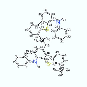 CCc1ccccc1N(C)c1ccc(C[Si](C)(C)c2cccc3c2sc2c(N(C)c4ccccc4)cccc23)c2c1sc1c([Si](C)(C)C)cccc12